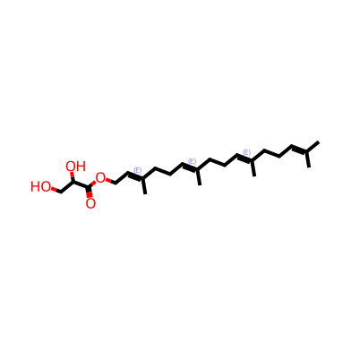 CC(C)=CCC/C(C)=C/CC/C(C)=C/CC/C(C)=C/COC(=O)C(O)CO